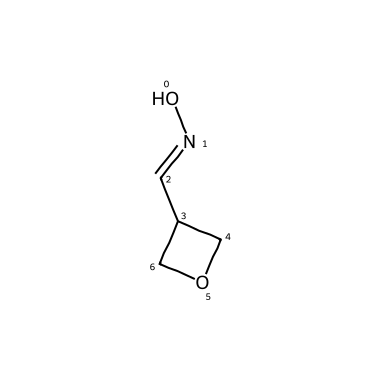 O/N=C/C1COC1